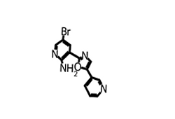 Nc1ncc(Br)cc1-c1ncc(-c2cccnc2)o1